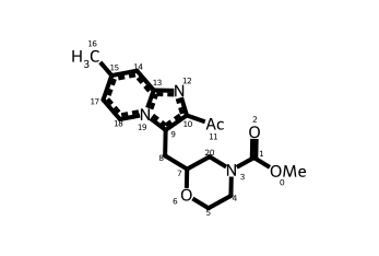 COC(=O)N1CCOC(Cc2c(C(C)=O)nc3cc(C)ccn23)C1